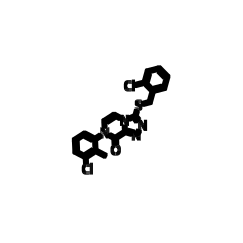 Cc1c(Cl)cccc1-n1ccn2c(SCc3ccccc3Cl)nnc2c1=O